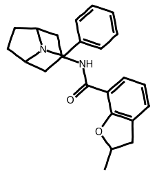 CC1Cc2cccc(C(=O)NC3CC4CCC(C3)N4Cc3ccccc3)c2O1